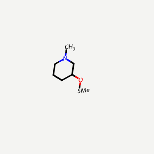 CSOC1CCCN(C)C1